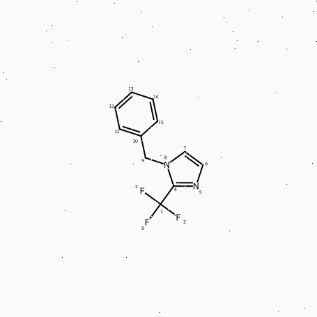 FC(F)(F)c1nccn1Cc1ccccc1